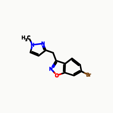 Cn1ccc(Cc2noc3cc(Br)ccc23)n1